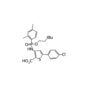 Cc1ccc(P(=O)(Nc2cc(-c3ccc(Cl)cc3)sc2C(=O)O)OCCC(C)(C)C)c(C)c1